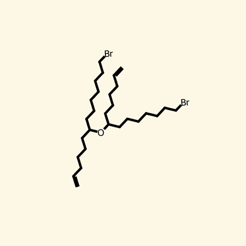 C=CCCCCC(CCCCCCCBr)OC(CCCCC=C)CCCCCCCBr